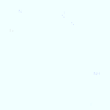 FCCNc1ccc(-c2cc(-c3ccnc(Br)c3)[nH]n2)cc1